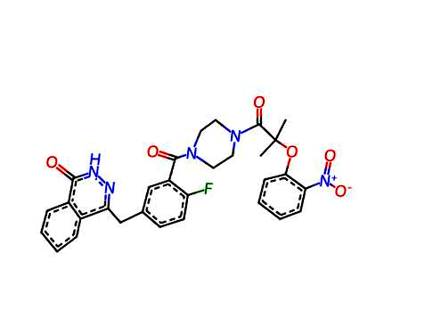 CC(C)(Oc1ccccc1[N+](=O)[O-])C(=O)N1CCN(C(=O)c2cc(Cc3n[nH]c(=O)c4ccccc34)ccc2F)CC1